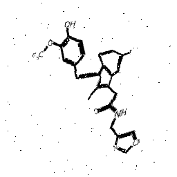 CC1=C(CC(=O)NCc2cocn2)c2cc(F)ccc2/C1=C\c1ccc(O)c(OC(F)(F)F)c1